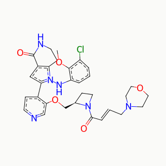 COc1c(Cl)cccc1Nn1c(-c2ccncc2OC[C@H]2CCN2C(=O)/C=C/CN2CCOCC2)cc2c1CCNC2=O